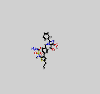 CCCc1cc(-c2ccc(Cn3c(-c4ccccc4)nc(OC)c3C=O)cc2)c(N(C)S(=O)(=O)C(N)=O)s1